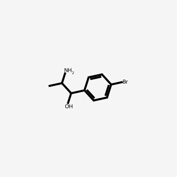 CC(N)C(O)c1ccc(Br)cc1